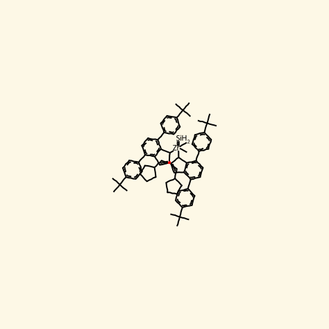 CC(C)(C)c1ccc(-c2ccc(-c3ccc(C(C)(C)C)cc3)c3c2C=C(CC2CCCC2)[CH]3[Zr]([CH3])([CH3])(=[SiH2])[CH]2C(CC3CCCC3)=Cc3c(-c4ccc(C(C)(C)C)cc4)ccc(-c4ccc(C(C)(C)C)cc4)c32)cc1